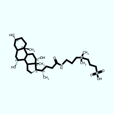 C[C@@H](CCC(=O)NCCC[N+](C)(C)CCCS(=O)(=O)O)[C@@H]1CCC2C3C(C[C@H](O)[C@@]21C)[C@@]1(C)CC[C@@H](O)CC1C[C@H]3O